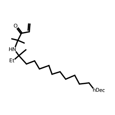 C=CC(=O)C(C)(C)NC(C)(CC)CCCCCCCCCCCCCCCCCCCC